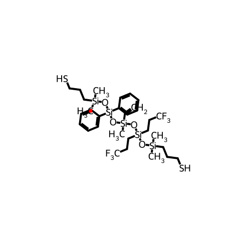 C=C[Si](C)(O[Si](CCC(F)(F)F)(CCC(F)(F)F)O[Si](C)(C)CCCS)O[Si](O[Si](C)(C)CCCS)(c1ccccc1)c1ccccc1